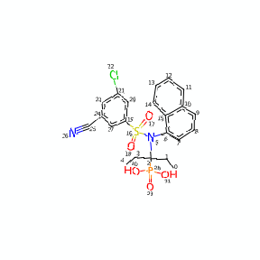 CCC(CC)(N(c1cccc2ccccc12)S(=O)(=O)c1cc(Cl)cc(C#N)c1)P(=O)(O)O